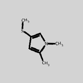 CSc1cc(C)n(C)c1